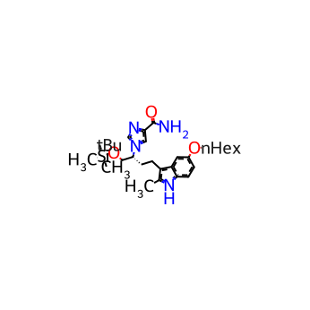 CCCCCCOc1ccc2[nH]c(C)c(CC[C@H](CO[Si](C)(C)C(C)(C)C)n3cnc(C(N)=O)c3)c2c1